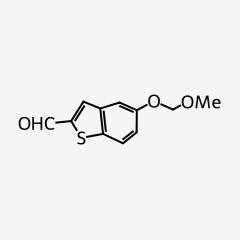 COCOc1ccc2sc(C=O)cc2c1